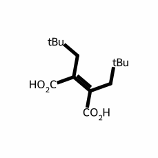 CC(C)(C)CC(C(=O)O)=C(CC(C)(C)C)C(=O)O